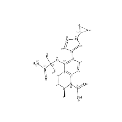 C[C@H]1CCc2c(ccc(-c3cnn(C4CC4)c3)c2OC(F)(F)C(N)=O)N1C(=O)O